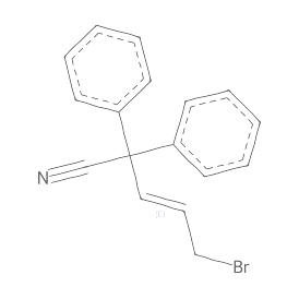 N#CC(/C=C/CBr)(c1ccccc1)c1ccccc1